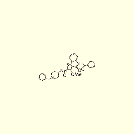 COc1c(C(=O)NC2CCN(Cc3ccccc3)CC2)sc2c1c(=O)n(CC(=O)c1ccccc1)c1ccccc21